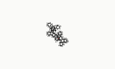 c1ccc(-c2nc(-c3ccccc3)nc(-n3c4ccccc4c4cc5c6ccccc6n(-c6ccccc6-c6ccc7c8ccccc8c8ccccc8c7c6)c5cc43)n2)cc1